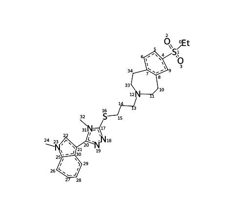 CCS(=O)(=O)c1ccc2c(c1)CCN(CCCSc1nnc(-c3cn(C)c4ccccc34)n1C)CC2